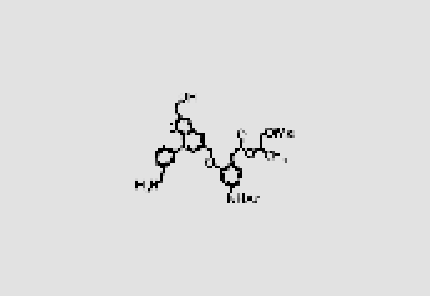 COCC(C)OC(=O)Cc1ccc(NC(C)=O)cc1OCc1cc(-c2cccc(CN)c2)c2oc(CO)cc2c1